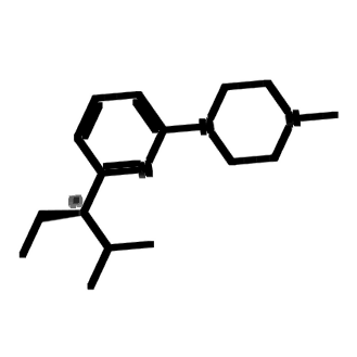 CC[C@@H](c1cccc(N2CCN(C)CC2)n1)C(C)C